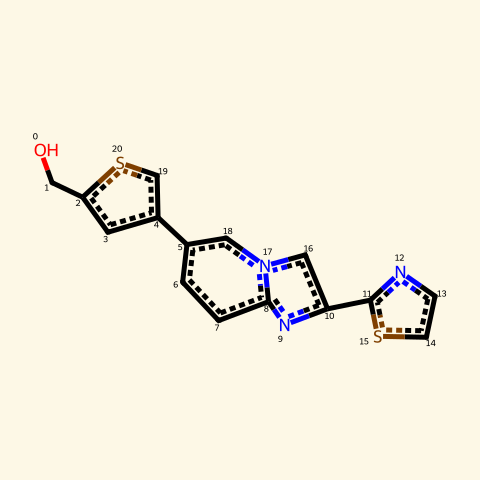 OCc1cc(-c2ccc3nc(-c4nccs4)cn3c2)cs1